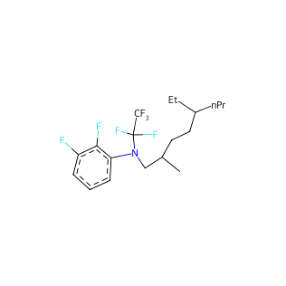 CCCC(CC)CCC(C)CN(c1cccc(F)c1F)C(F)(F)C(F)(F)F